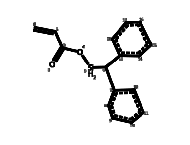 C=CC(=O)O[SiH2]C(c1ccccc1)c1ccccc1